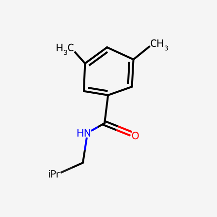 Cc1cc(C)cc(C(=O)NCC(C)C)c1